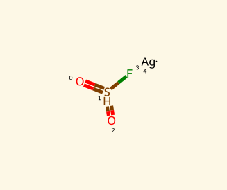 O=[SH](=O)F.[Ag]